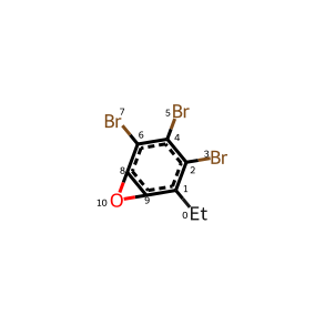 CCc1c(Br)c(Br)c(Br)c2c1O2